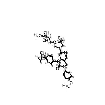 COc1ccc(N2Cc3cnc(N(COCC[Si](C)(C)C)CC(F)(F)F)nc3N(c3ccc(C4(O)CC4)cc3)C2=O)cc1